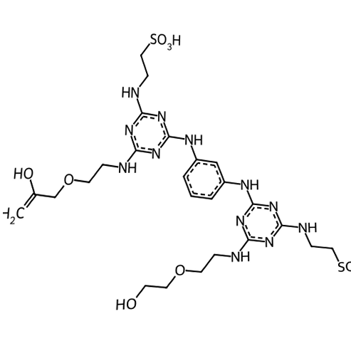 C=C(O)COCCNc1nc(NCCS(=O)(=O)O)nc(Nc2cccc(Nc3nc(NCCOCCO)nc(NCCS(=O)(=O)O)n3)c2)n1